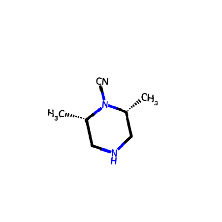 C[C@@H]1CNC[C@H](C)N1C#N